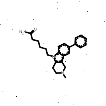 CN1CCc2c(c3cc(-c4ccccc4)ccc3n2CCCCCC(N)=O)C1